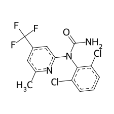 Cc1cc(C(F)(F)F)cc(N(C(N)=O)c2c(Cl)cccc2Cl)n1